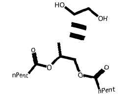 C=C.C=C.CCCCCC(=O)OCC(C)OC(=O)CCCCC.OCCO